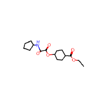 CCOC(=O)C1CCC(OC(=O)C(=O)NC2CCCC2)CC1